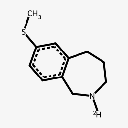 [2H]N1CCCc2cc(SC)ccc2C1